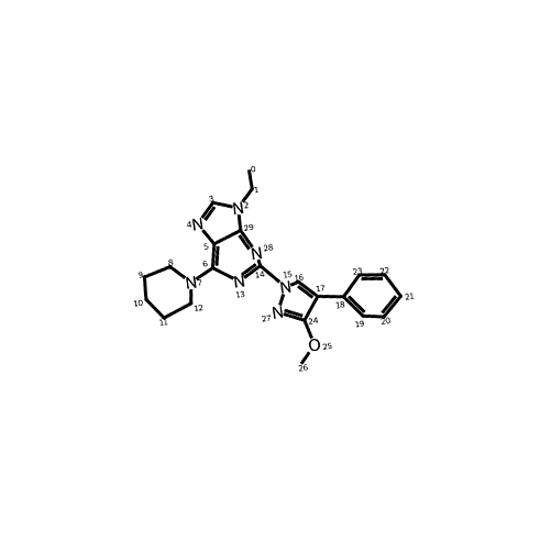 CCn1cnc2c(N3CCCCC3)nc(-n3cc(-c4ccccc4)c(OC)n3)nc21